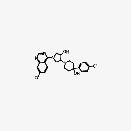 OC1CN(c2ncnc3cc(Cl)ccc23)CC1N1CCC(O)(c2ccc(Cl)cc2)CC1